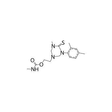 CNC(=O)OCCN1CN(C)C(=S)N(c2ccc(C)cc2C)C1